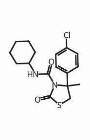 CC1(c2ccc(Cl)cc2)CSC(=O)N1C(=O)NC1CCCCC1